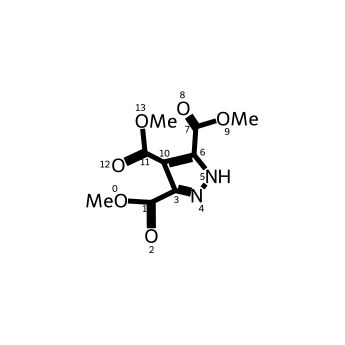 COC(=O)c1n[nH]c(C(=O)OC)c1C(=O)OC